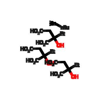 CCC(O)(CC(=O)O)C(=O)O.CCC(O)(CC(=O)O)C(=O)O.CCC(O)(CC(=O)O)C(=O)O.CCC[CH2][Sn]